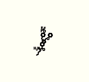 CCCCN(N)C(=O)c1ccc2c(c1)cc(COc1ccccc1)n2Cc1ccc(OC(F)(F)F)cc1